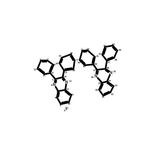 [Ir].c1ccc(-c2nc3ccccc3nc2-c2ccccc2)cc1.c1ccc(-c2nc3ccccc3nc2-c2ccccc2)cc1